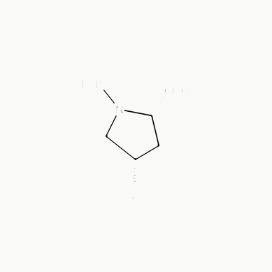 BN1C[C@@H](F)C[C@H]1C=O